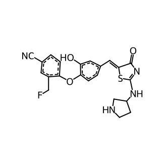 N#Cc1ccc(Oc2ccc(/C=C3\SC(NC4CCNC4)=NC3=O)cc2O)c(CF)c1